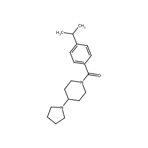 CC(C)c1ccc(C(=O)N2CCC(N3CCCC3)CC2)cc1